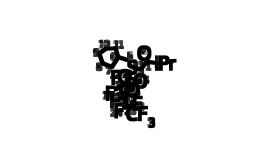 CC(C)C(=O)C[S+](CC1CCCCC1)OS(=O)(=O)C(F)(F)C(F)(F)C(F)(F)C(F)(F)F